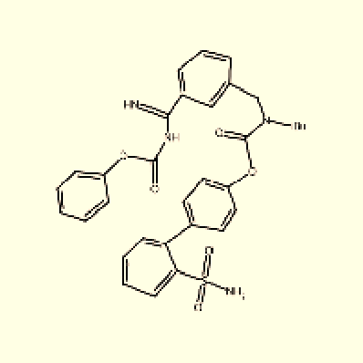 CCC(C)N(Cc1cccc(C(=N)NC(=O)Oc2ccccc2)c1)C(=O)Oc1ccc(-c2ccccc2S(N)(=O)=O)cc1